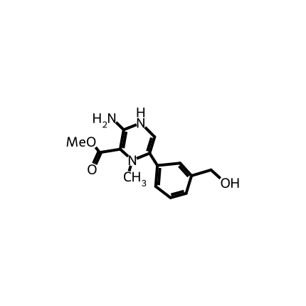 COC(=O)C1=C(N)NC=C(c2cccc(CO)c2)N1C